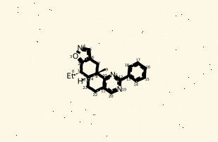 CC[C@@H]1c2oncc2C[C@]2(C)c3nc(-c4ccccc4)ncc3CC[C@@H]12